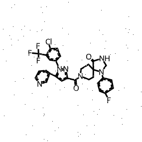 O=C(c1cc(-c2cccnc2)n(-c2ccc(Cl)c(C(F)(F)F)c2)n1)N1CCC2(CC1)C(=O)NCN2c1ccc(F)cc1